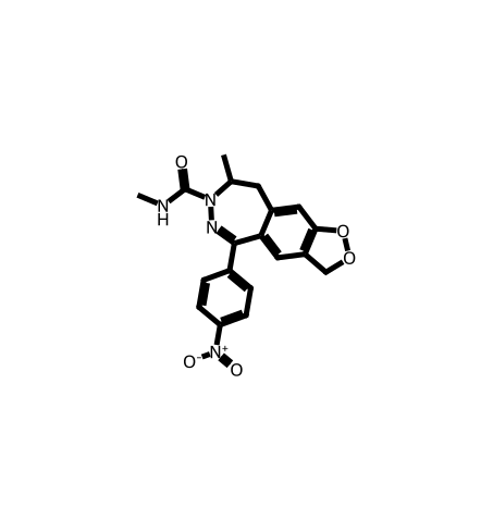 CNC(=O)N1N=C(c2ccc([N+](=O)[O-])cc2)c2cc3c(cc2CC1C)OOC3